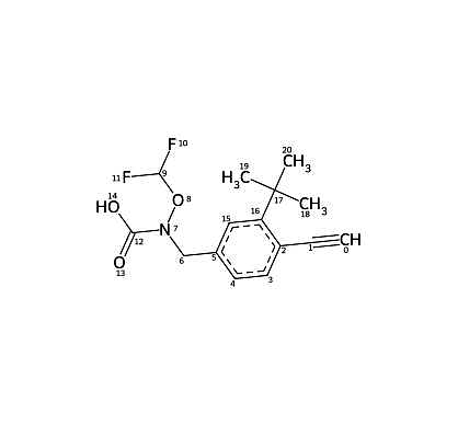 C#Cc1ccc(CN(OC(F)F)C(=O)O)cc1C(C)(C)C